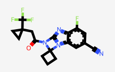 N#Cc1cc(F)c2nc3n(c2c1)C1(CCC1)N3C(=O)CC1(C(F)(F)F)CC1